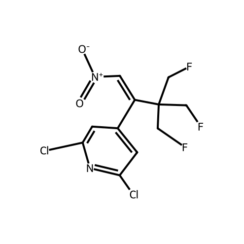 O=[N+]([O-])/C=C(\c1cc(Cl)nc(Cl)c1)C(CF)(CF)CF